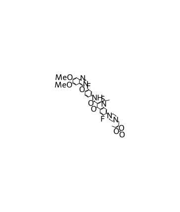 COc1cc2ncnc(Oc3ccc(NC(=O)c4c5n(c6cc(N7CCN(Cc8oc(=O)oc8C)CC7)c(F)cc6c4=O)C(C)S5)cc3F)c2cc1OC